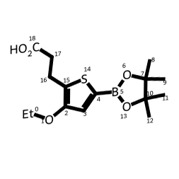 CCOc1cc(B2OC(C)(C)C(C)(C)O2)sc1CCC(=O)O